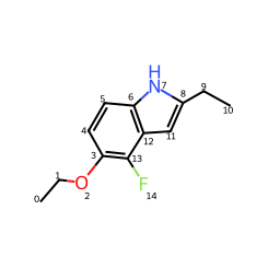 CCOc1ccc2[nH]c(CC)cc2c1F